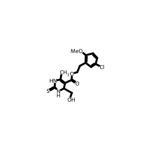 COc1ccc(Cl)cc1CCOC(=O)C1=C(C)NC(=S)NC1CO